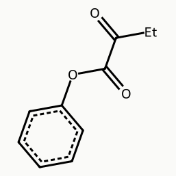 CCC(=O)C(=O)Oc1ccccc1